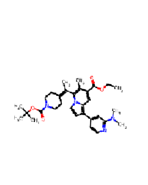 CCOC(=O)c1cc2c(-c3ccnc(N(C)C)c3)ccn2c(C(C)=C2CCN(C(=O)OC(C)(C)C)CC2)c1C